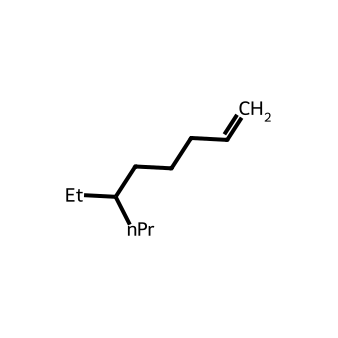 C=CCCCC(CC)CCC